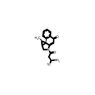 CCC(N)CC(=O)N1CC2[C@@H](C)[C@]23C1=CC(=O)c1ccccc13